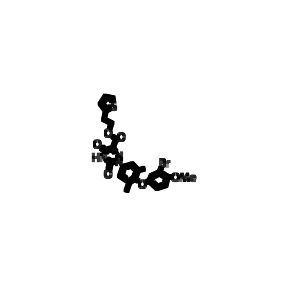 COc1ccc(Oc2c(C)cc(-n3nc(C(=O)OCCc4cccs4)c(=O)[nH]c3=O)cc2C)cc1Br